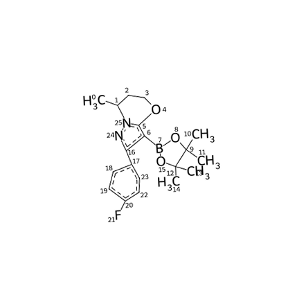 CC1CCOc2c(B3OC(C)(C)C(C)(C)O3)c(-c3ccc(F)cc3)nn21